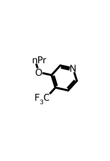 CCCOc1cnccc1C(F)(F)F